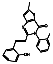 Cc1cc2nc(C=Cc3ccccc3O)n(-c3ccccc3C)c(=O)c2s1